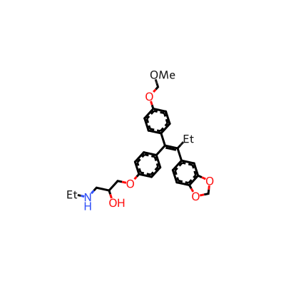 CCNCC(O)COc1ccc(/C(=C(/CC)c2ccc3c(c2)OCO3)c2ccc(OCOC)cc2)cc1